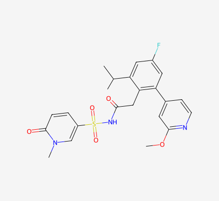 COc1cc(-c2cc(F)cc(C(C)C)c2CC(=O)NS(=O)(=O)c2ccc(=O)n(C)c2)ccn1